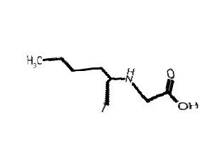 CCCCC(I)NCC(=O)O